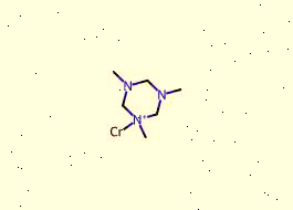 CN1CN(C)C[N+](C)([Cr])C1